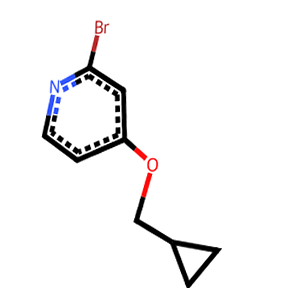 Brc1cc(OCC2CC2)ccn1